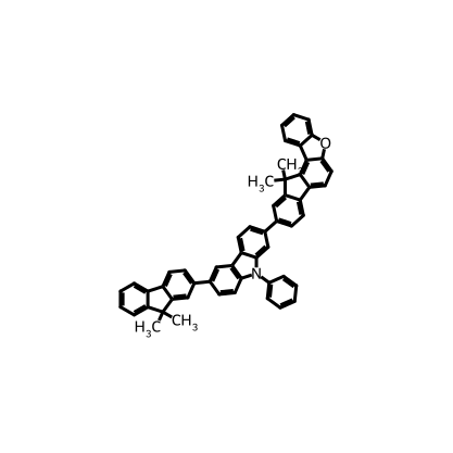 CC1(C)c2ccccc2-c2ccc(-c3ccc4c(c3)c3ccc(-c5ccc6c(c5)C(C)(C)c5c-6ccc6oc7ccccc7c56)cc3n4-c3ccccc3)cc21